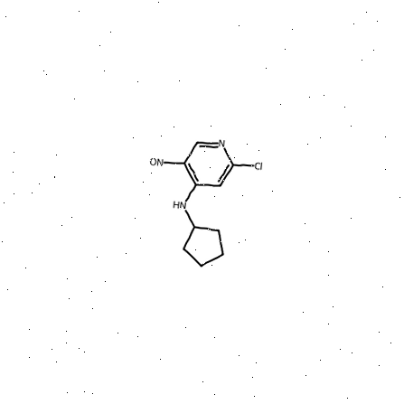 O=Nc1cnc(Cl)cc1NC1CCCC1